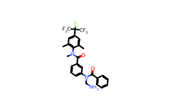 Cc1cc(C(F)(C(F)(F)F)C(F)(F)F)cc(C)c1N(C)C(=O)c1cccc(N(CN)C(=O)c2ccccc2)c1